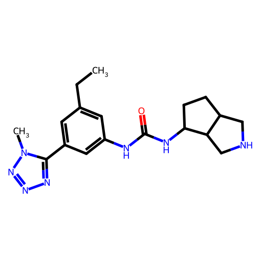 CCc1cc(NC(=O)NC2CCC3CNCC32)cc(-c2nnnn2C)c1